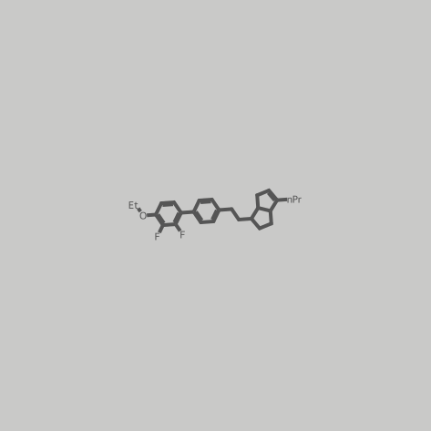 CCCC1=CCC2C(CCc3ccc(-c4ccc(OCC)c(F)c4F)cc3)CCC12